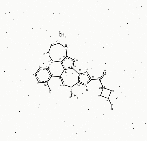 C[C@@H]1N=C(c2c(F)cccc2F)c2c(sc3c2COC[C@H](C)O3)-n2nc(C(=O)N3CC(F)C3)nc21